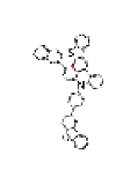 c1ccc(N(c2ccc(-c3ccc4ccccc4c3)cc2)c2ccc(-c3ccc4oc5ccccc5c4c3)cc2)c(-c2ccc3sc4ccccc4c3c2)c1